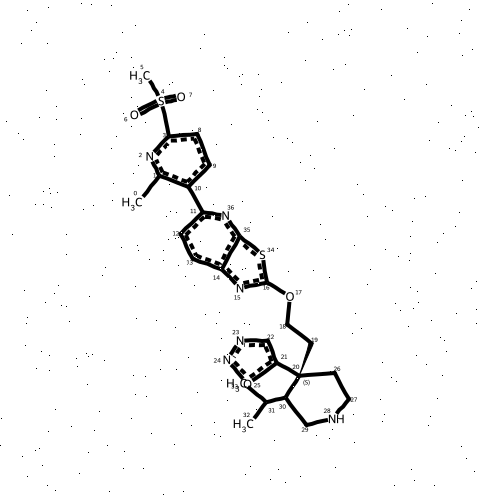 Cc1nc(S(C)(=O)=O)ccc1-c1ccc2nc(OCC[C@@]3(c4cnno4)CCNCC3C(C)C)sc2n1